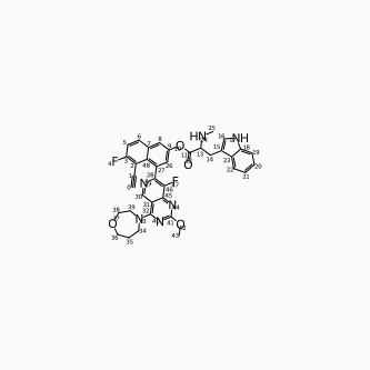 C#Cc1c(F)ccc2cc(OC(=O)C(Cc3c[nH]c4ccccc34)NC)cc(-c3ncc4c(N5CCCOCC5)nc(OC)nc4c3F)c12